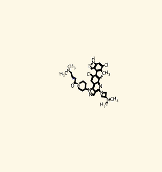 Cc1c(Cl)cc2[nH]ncc2c1-c1c(Cl)cc2c(nc(N3CC(N(C)C)C3)c3cnn(C4CCN(C(=O)/C=C/CN(C)C)CC4)c32)c1F